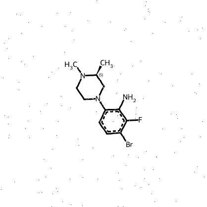 C[C@H]1CN(c2ccc(Br)c(F)c2N)CCN1C